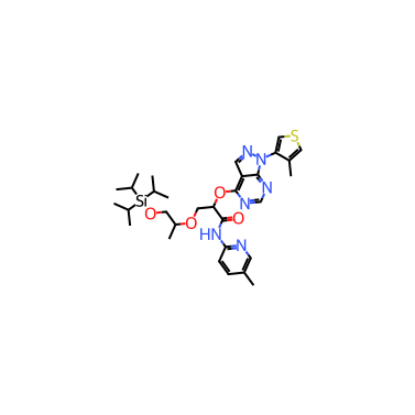 Cc1ccc(NC(=O)C(COC(C)CO[Si](C(C)C)(C(C)C)C(C)C)Oc2ncnc3c2cnn3-c2cscc2C)nc1